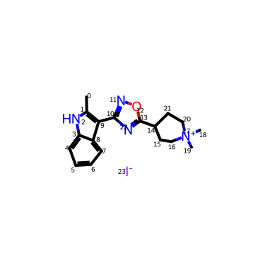 Cc1[nH]c2ccccc2c1-c1noc(C2CC[N+](C)(C)CC2)n1.[I-]